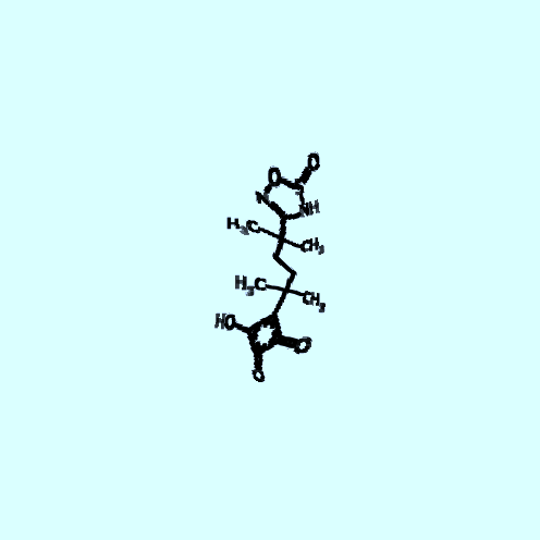 CC(C)(CCC(C)(C)c1c(O)c(=O)c1=O)C1=NOS(=O)N1